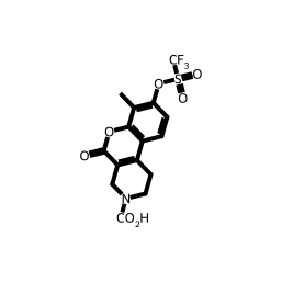 Cc1c(OS(=O)(=O)C(F)(F)F)ccc2c3c(c(=O)oc12)CN(C(=O)O)CC3